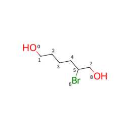 OCCCCC(Br)CO